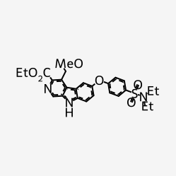 CCOC(=O)c1ncc2[nH]c3ccc(Oc4ccc(S(=O)(=O)N(CC)CC)cc4)cc3c2c1COC